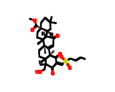 CCCCS(=O)(=O)/C=C1\C(=O)[C@]2(C)C3=CC(=O)[C@@H]4[C@@H]5CC(C)(C)CC[C@]5(C(=O)OC)CC[C@@]4(C)[C@]3(C)CC[C@H]2[C@@](C)(CO)C1=O